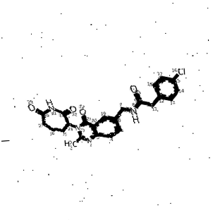 Cc1nc2ccc(CNC(=O)Cc3ccc(Cl)cc3)cc2c(=O)n1C1CCCC(=O)NC1=O